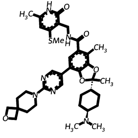 CSc1cc(C)[nH]c(=O)c1CNC(=O)c1cc(-c2cnc(N3CCC4(CC3)COC4)nc2)c2c(c1C)OC(C)([C@H]1CC[C@H](N(C)C)CC1)O2